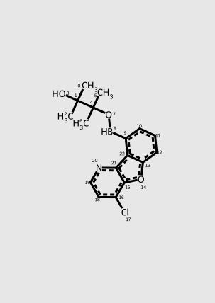 CC(C)(O)C(C)(C)OBc1cccc2oc3c(Cl)ccnc3c12